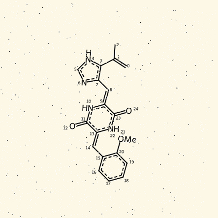 C=C(C)c1[nH]cnc1/C=c1\[nH]c(=O)/c(=C/c2ccccc2OC)[nH]c1=O